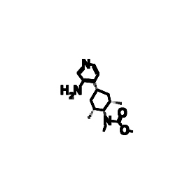 COC(=O)N(C)[C@@H]1[C@H](C)C[C@H](c2ccncc2N)C[C@@H]1C